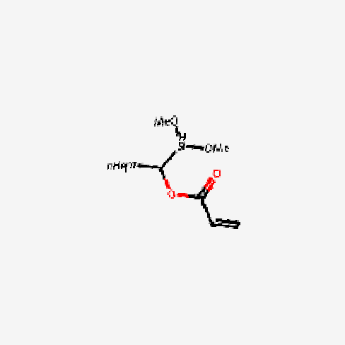 C=CC(=O)OC(CCCCCCC)[SiH](OC)OC